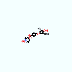 CC(C)(C)c1cc(OCc2ccc(C(=O)OC3CC(C)(C)N(O)C(C)(C)C3)cc2)cc(C(C)(C)C)c1O